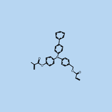 C=CC(=O)OCc1ccc(N(c2ccc(OC(=O)C(=C)C)cc2)c2ccc(-c3ccccc3)cc2)cc1